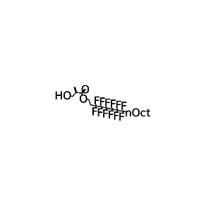 C=C(CO)C(=O)OCCC(F)(F)C(F)(F)C(F)(F)C(F)(F)C(F)(F)C(F)(F)CCCCCCCC